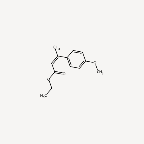 CCOC(=O)/C=C(/C)c1ccc(OC)cc1